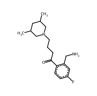 CC1CC(C)CN(CCCC(=O)c2ccc(F)cc2CN)C1